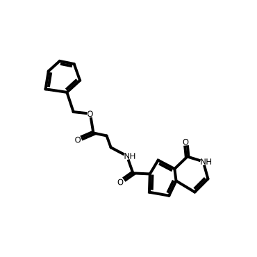 O=C(CCNC(=O)c1ccc2cc[nH]c(=O)c2c1)OCc1ccccc1